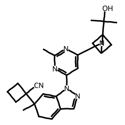 Cc1nc(N2CC3(C(C)(C)O)CC2C3)cc(-n2ncc3c2=CC(C)(C2(C#N)CCC2)CC=3)n1